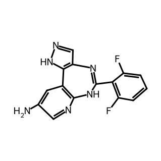 Nc1cnc2c(c1)-c1[nH]ncc1N=C(c1c(F)cccc1F)N2